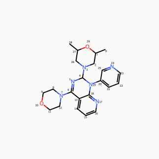 CC1CN(C2N=C(N3CCOCC3)c3cccnc3N2c2cccnc2)CC(C)O1